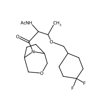 CC(=O)NC(C(=O)N1C2CCC1COC2)C(C)OCC1CCC(F)(F)CC1